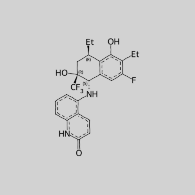 CCc1c(F)cc2c(c1O)[C@H](CC)C[C@](O)(C(F)(F)F)[C@H]2Nc1cccc2[nH]c(=O)ccc12